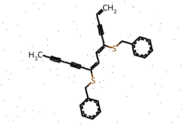 C=CC#CC(=CC=C(C#CC#CC)SCc1ccccc1)SCc1ccccc1